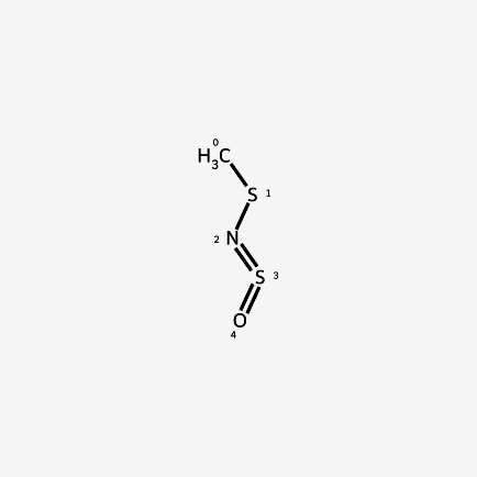 CSN=S=O